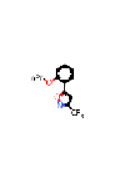 CCCOc1ccccc1-c1cc(C(F)(F)F)no1